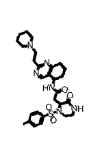 Cc1ccc(S(=O)(=O)N2CCNC(=O)C2CC(=O)NC2CCCc3nc(CCN4CCCCC4)ncc32)cc1